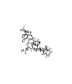 Nc1ccc2c(c1)nc(NCc1ccccc1F)c1ncc(-c3ccc(C(=O)NC4CC4)c(Cl)c3)n12